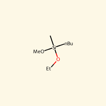 CCCC[Si](C)(OC)OCC